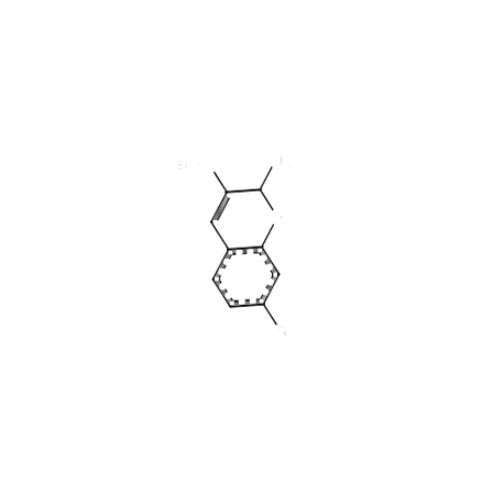 CCOC(=O)C1=Cc2ccc(S)cc2OC1C(F)(F)F